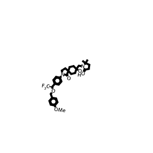 COc1ccc(CO[C@H](c2ccc(N3CCC4(CCC(O)(CN5C(=O)CCC5(C)C)CC4)C3=O)cc2)C(F)(F)F)cc1